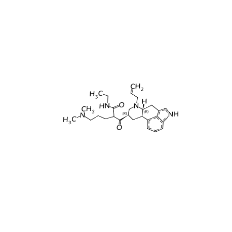 C=CCN1C[C@H](C(=O)C(CCCN(C)C)C(=O)NCC)CC2c3cccc4[nH]cc(c34)C[C@H]21